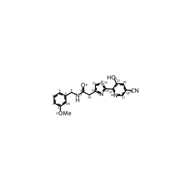 COc1cccc(CNC(=O)Cc2csc(-c3ncc(C#N)cc3O)n2)c1